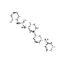 Cc1ccccc1NC(=O)Nc1cc(-c2ccnc(Nc3ccccc3)c2)ccn1